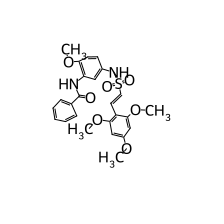 COc1cc(OC)c(C=CS(=O)(=O)Nc2ccc(OC)c(NC(=O)c3ccccc3)c2)c(OC)c1